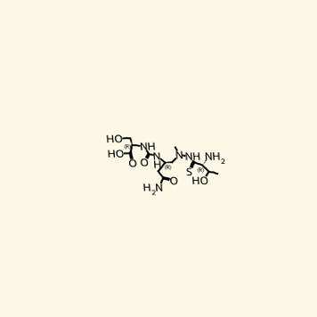 CC(O)[C@@H](N)C(=S)NN(C)C[C@@H](CC(N)=O)NC(=O)N[C@H](CO)C(=O)O